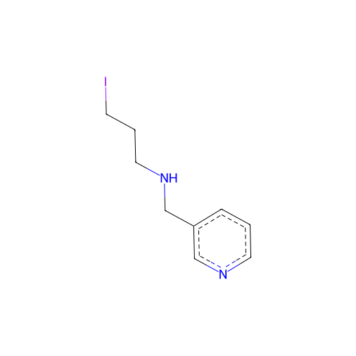 ICCCNCc1cccnc1